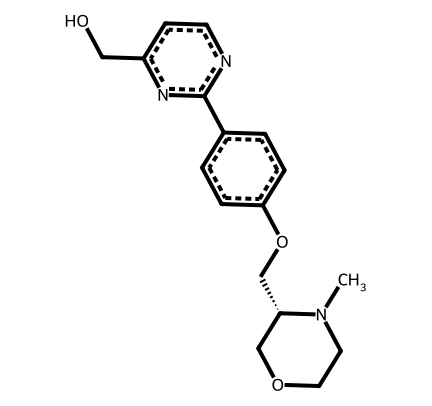 CN1CCOC[C@@H]1COc1ccc(-c2nccc(CO)n2)cc1